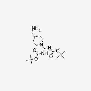 CC(C)(C)OC(=O)N=C(NC(=O)OC(C)(C)C)N1CCC(CN)CC1